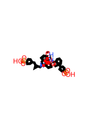 CO[C@]12C=C[C@@]3(C[C@@H]1C(=O)NCc1ccccc1)C1Cc4ccc(OCCc5ccc(S(=O)(=O)O)cc5)c5c4C3(CCN1CC1CC1Cc1ccc(S(=O)(=O)O)cc1)[C@H]2O5